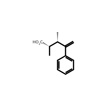 C=C(c1ccccc1)[C@@H](C)[C@H](C)C(=O)O